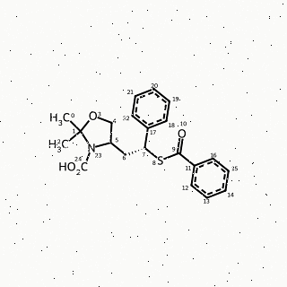 CC1(C)OCC(C[C@@H](SC(=O)c2ccccc2)c2ccccc2)N1C(=O)O